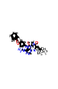 CC(C)(C)C=C(C#N)C(=O)N1CC[C@H](n2c(=O)n(-c3ccc(Oc4ccccc4)cc3)c3c(N)ncnc32)C1